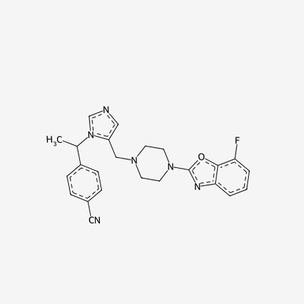 CC(c1ccc(C#N)cc1)n1cncc1CN1CCN(c2nc3cccc(F)c3o2)CC1